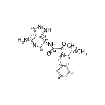 CC(C)CN(Cc1ccccc1)C(=O)C(=O)Nc1cnc(N)c2cn[nH]c12